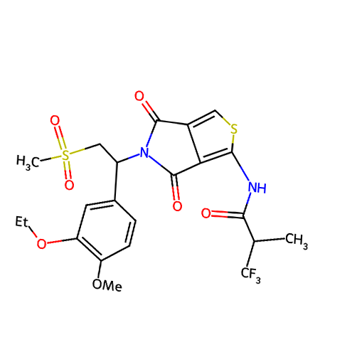 CCOc1cc(C(CS(C)(=O)=O)N2C(=O)c3csc(NC(=O)C(C)C(F)(F)F)c3C2=O)ccc1OC